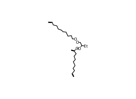 C=CCCCCCCCCCOOCC(CC)OOC(=C)CCCCCCCC=C